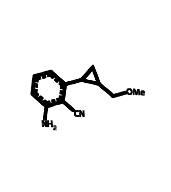 COCC1CC1c1cccc(N)c1C#N